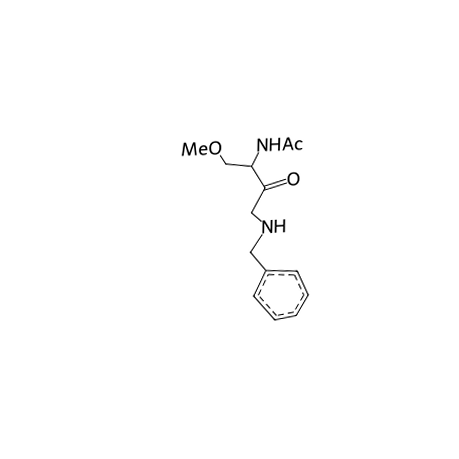 COCC(NC(C)=O)C(=O)CNCc1ccccc1